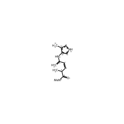 C=C(/C=C\C(C)C(=O)NC)Nc1c[nH]cc1C